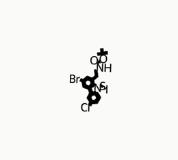 CC(C)(C)OC(=O)NCCc1cc(Br)cc2c3cc(Cl)ccc3n(SI)c12